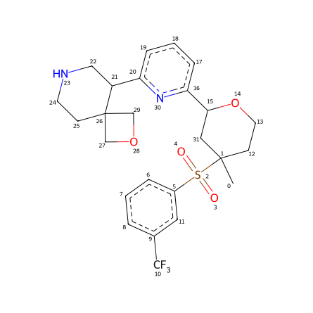 CC1(S(=O)(=O)c2cccc(C(F)(F)F)c2)CCOC(c2cccc(C3CNCCC34COC4)n2)C1